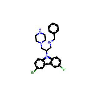 Brc1ccc2c(c1)c1cc(Br)ccc1n2C(CNCc1ccccc1)CN1CCNCC1